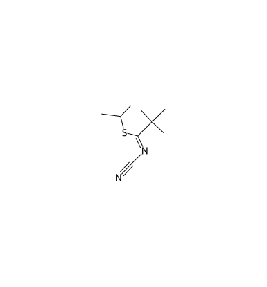 CC(C)S/C(=N\C#N)C(C)(C)C